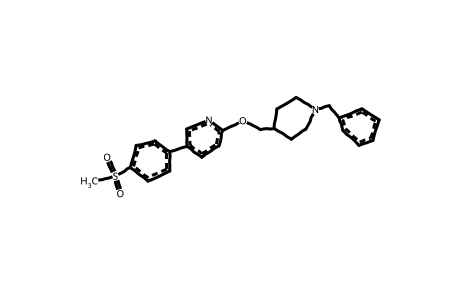 CS(=O)(=O)c1ccc(-c2ccc(OCC3CCN(Cc4ccccc4)CC3)nc2)cc1